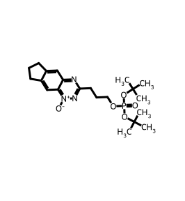 CC(C)(C)OP(=O)(OCCCc1nc2cc3c(cc2[n+]([O-])n1)CCC3)OC(C)(C)C